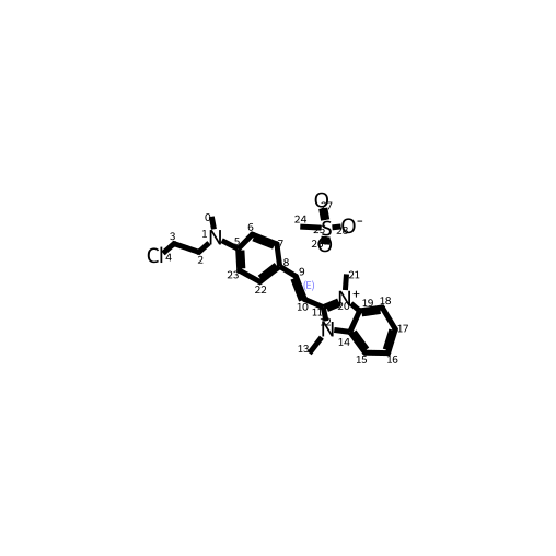 CN(CCCl)c1ccc(/C=C/c2n(C)c3ccccc3[n+]2C)cc1.CS(=O)(=O)[O-]